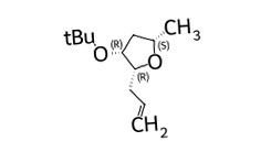 C=CC[C@H]1O[C@@H](C)C[C@H]1OC(C)(C)C